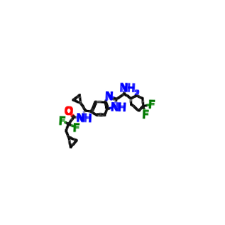 N[C@H](c1nc2cc([C@H](NC(=O)C(F)(F)CC3CC3)C3CC3)ccc2[nH]1)C1CCC(F)(F)CC1